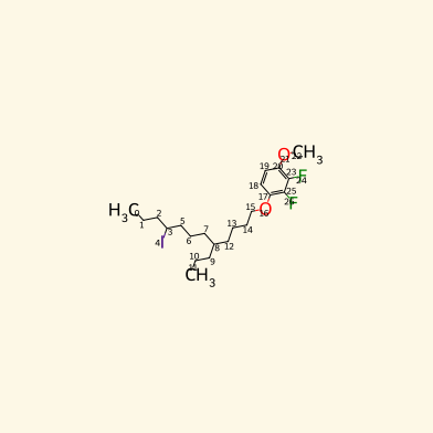 CCCC(I)CCCC(CCC)CCCCOc1ccc(OC)c(F)c1F